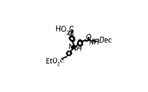 CCCCCCCCCCCCNC(=O)/C=C/c1ccc(-c2[nH]c(-c3ccc(/C=C/C(=O)OCC)cc3)nc2-c2ccc(OCC(=O)O)cc2)cc1